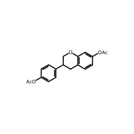 CC(=O)Oc1ccc(C2[CH]c3ccc(OC(C)=O)cc3OC2)cc1